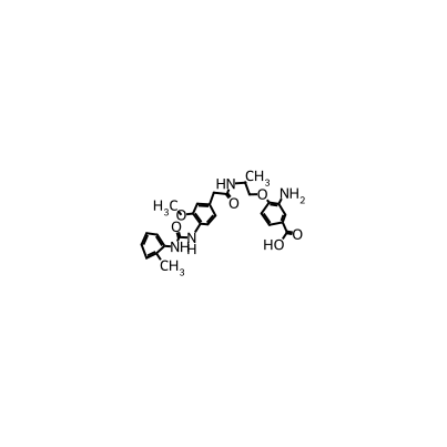 COc1cc(CC(=O)N[C@@H](C)COc2ccc(C(=O)O)cc2N)ccc1NC(=O)Nc1ccccc1C